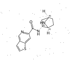 O=C(N[C@@H]1C[C@H]2CC[C@@H]1N2)c1cc2sccc2cn1